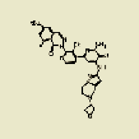 CCc1c(-c2cc(Nc3cc4n(n3)CCN(C3COC3)C4)c(=O)n(C)n2)ccnc1-n1ncc2cc(C(C)(C)C)cc(F)c2c1=O